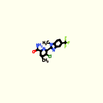 Cc1cc(C(N)=O)nc(-c2nc3cc(C(F)(F)F)ccc3n2C)c1Cl